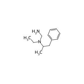 CCN(CN)C(C)Cc1ccccc1